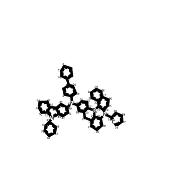 c1ccc(-c2ccc(N(c3ccc4c(c3)Cc3cccc5c3B4c3c(ccc4ccccc34)N5c3ccccc3)c3ccc4c(c3)c3ccccc3n4-c3ccccc3)cc2)cc1